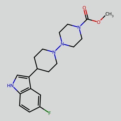 COC(=O)N1CCN(N2CCC(c3c[nH]c4ccc(F)cc34)CC2)CC1